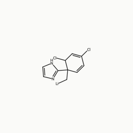 [Li][CH2]C1(c2ncc[nH]2)C=CC(Cl)=CC1Cl